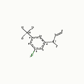 C=C[C](C)c1cc(F)cc(C(C)(C)C)c1